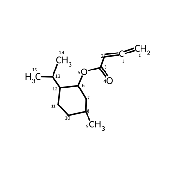 C=C=CC(=O)OC1CC(C)CCC1C(C)C